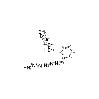 Br.N=[N+]=[N+]=[N+]=[N+]=[N+]=Cc1ccccc1.[Br-].[Br-].[Br-].[Br-].[Br-]